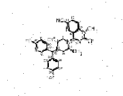 CC[C@@H]1CN(c2nc(=O)n(C)c3ccc(C#N)nc23)[C@@H](C)CN1C(c1ccc(F)cc1)c1ccc(F)nc1